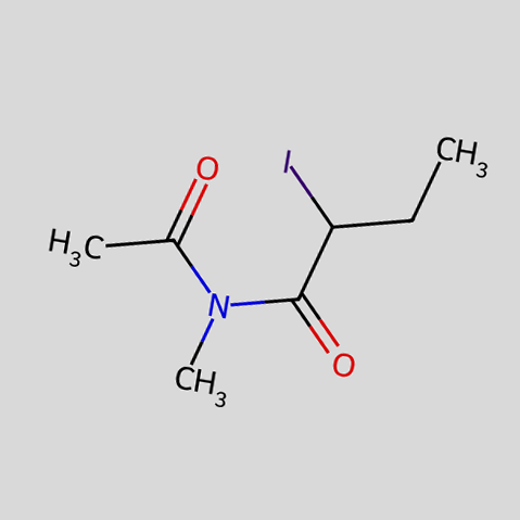 CCC(I)C(=O)N(C)C(C)=O